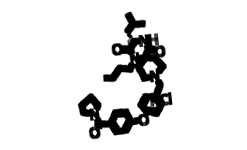 CCCCN1C(=O)[C@H](CC(C)C)NC(=O)C12CCN(Cc1ccc(Oc3ccc(C(=O)N4CCCC4)cc3)cc1)CC2.Cl